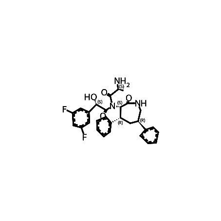 C[C@H](N)C(=O)N(C(=O)[C@@H](O)c1cc(F)cc(F)c1)[C@@H]1C(=O)NC[C@@H](c2ccccc2)C[C@@H]1c1ccccc1